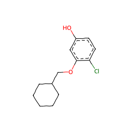 Oc1ccc(Cl)c(OCC2CCCCC2)c1